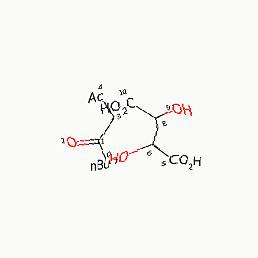 CCCCC(=O)CC(C)=O.O=C(O)C(O)C(O)C(=O)O